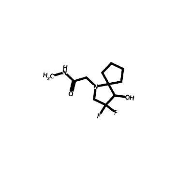 CNC(=O)CN1CC(F)(F)C(O)C12CCCC2